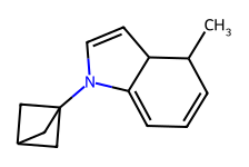 CC1C=CC=C2C1C=CN2C12CC(C1)C2